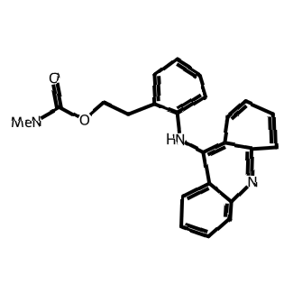 CNC(=O)OCCc1ccccc1Nc1c2ccccc2nc2ccccc12